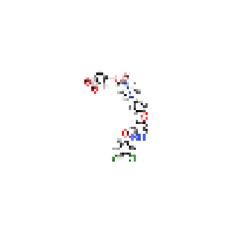 O=C(Nc1ccc(Oc2ccc(N3CCN(C(=O)COc4ccc5c(c4)OCO5)CC3)cc2)cc1)c1ccc(Cl)c(Cl)c1